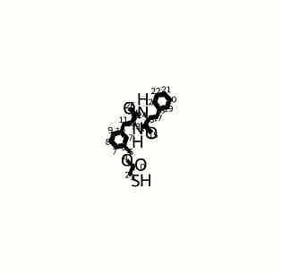 O=C(CS)OCc1cccc(C=c2[nH]c(=O)c(=Cc3ccccc3)[nH]c2=O)c1